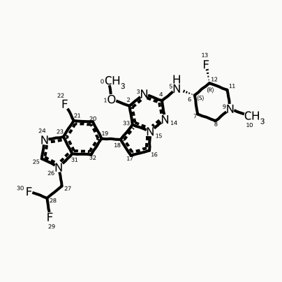 COc1nc(N[C@H]2CCN(C)C[C@H]2F)nn2ccc(-c3cc(F)c4ncn(CC(F)F)c4c3)c12